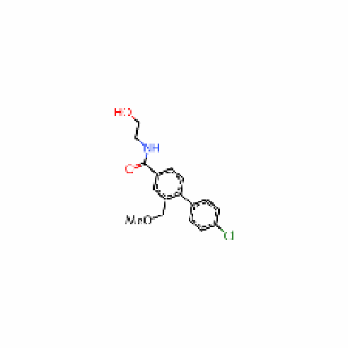 COCc1cc(C(=O)NCCO)ccc1-c1ccc(Cl)cc1